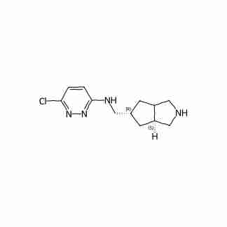 Clc1ccc(NC[C@@H]2CC3CNC[C@H]3C2)nn1